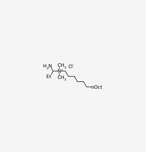 CCCCCCCCCCCCCC[N+](C)(C)C(N)CC.[Cl-]